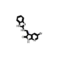 O=C1Nc2ncc(Br)cc2/C1=C/Nc1nc2ccccc2[nH]1